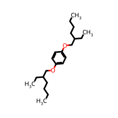 CCCCC(CC)COc1ccc(OCC(CC)CCCC)cc1